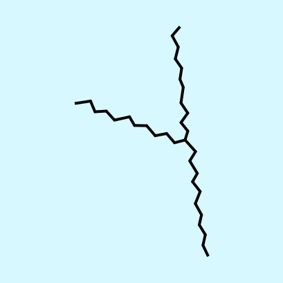 CCCCCCCCCCCC(CCCCCCCCCCC)CCCCCCCCCCC